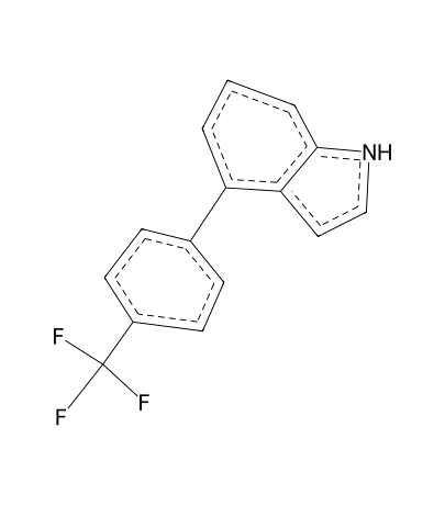 FC(F)(F)c1ccc(-c2cccc3[nH]ccc23)cc1